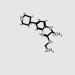 CCOC(=O)C(C)Oc1ccc(C2CCOCC2)cc1